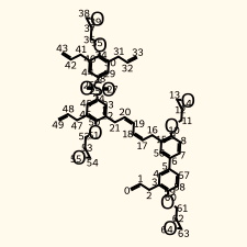 C=CCc1cc(-c2ccc(OCC3CO3)c(C/C=C\C=C/Cc3cc(S(=O)(=O)c4cc(CC=C)c(OCC5CO5)c(CC=C)c4)cc(CC=C)c3OCC3CO3)c2)ccc1OCC1CO1